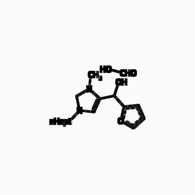 CCCCCCCN1C=C(C(O)c2ccco2)N(C)C1.O=CO